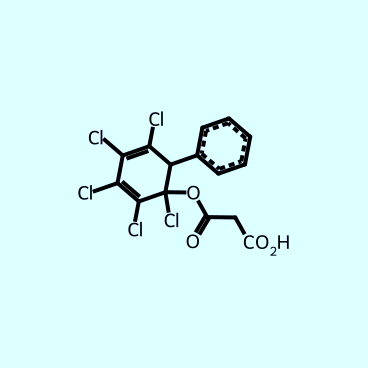 O=C(O)CC(=O)OC1(Cl)C(Cl)=C(Cl)C(Cl)=C(Cl)C1c1ccccc1